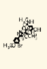 CNC(=O)[C@H]1CC(O)CN1C(=O)C(n1cc(-c2ccc(OC)c(Br)c2)nn1)C(C)(C)C